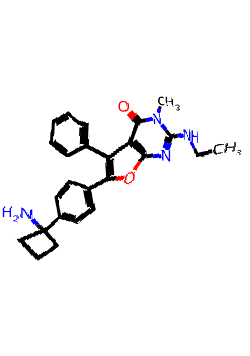 CCNc1nc2oc(-c3ccc(C4(N)CCC4)cc3)c(-c3ccccc3)c2c(=O)n1C